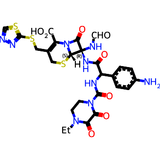 CCN1CCN(C(=O)NC(C(=O)N[C@]2(NC=O)C(=O)N3C(C(=O)O)=C(CSc4nncs4)CS[C@H]32)c2ccc(N)cc2)C(=O)C1=O